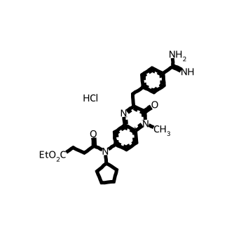 CCOC(=O)CCC(=O)N(c1ccc2c(c1)nc(Cc1ccc(C(=N)N)cc1)c(=O)n2C)C1CCCC1.Cl